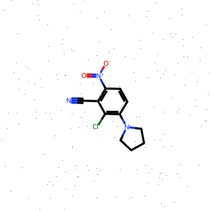 N#Cc1c([N+](=O)[O-])ccc(N2CCCC2)c1Cl